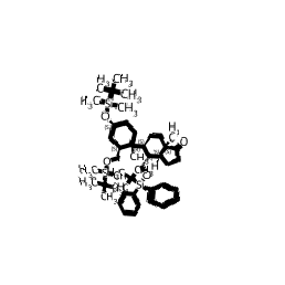 CC(C)(C)[Si](C)(C)OC[C@H]1C[C@@H](O[Si](C)(C)C(C)(C)C)CC[C@]1(C)[C@H]1CC[C@]2(C)C(=O)CC[C@H]2[C@@H]1CO[Si](c1ccccc1)(c1ccccc1)C(C)(C)C